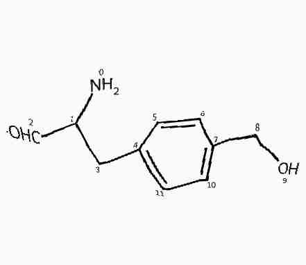 NC([C]=O)Cc1ccc(CO)cc1